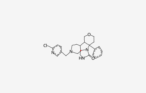 O=C1NCCN1C1(c2ccccc2)CCOCC1C1CCN(Cc2ccc(Cl)nc2)CC1